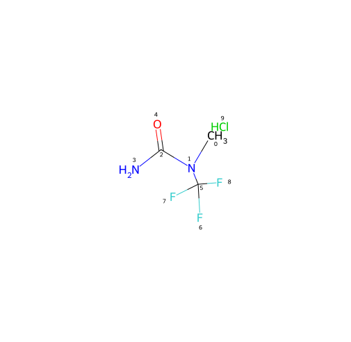 CN(C(N)=O)C(F)(F)F.Cl